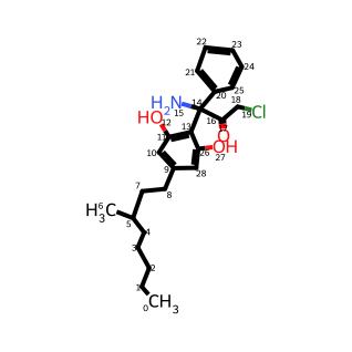 CCCCCC(C)CCc1cc(O)c(C(N)(C(=O)CCl)c2ccccc2)c(O)c1